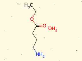 CCOC(=O)CCCN.O